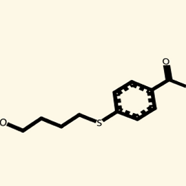 CCC(=O)c1ccc(SCCCCO)cc1